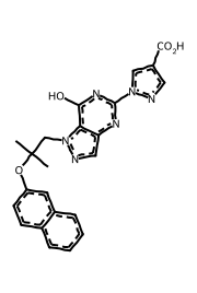 CC(C)(Cn1ncc2nc(-n3cc(C(=O)O)cn3)nc(O)c21)Oc1ccc2ccccc2c1